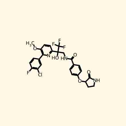 COc1ccc(C(O)(CNC(=O)c2ccc(OC3CCNC3=O)cc2)C(F)(F)F)nc1-c1ccc(F)c(Cl)c1